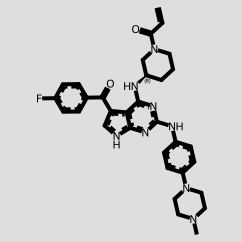 C=CC(=O)N1CCC[C@@H](Nc2nc(Nc3ccc(N4CCN(C)CC4)cc3)nc3[nH]cc(C(=O)c4ccc(F)cc4)c23)C1